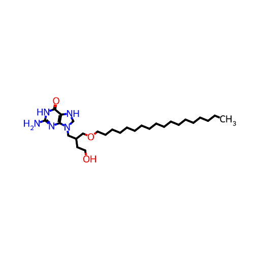 CCCCCCCCCCCCCCCCCCOCC(CCO)CN1CNc2c1nc(N)[nH]c2=O